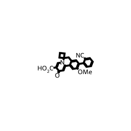 COc1cc2c(cc1-c1ccccc1C#N)CC1(CCC1)n1cc(C(=O)O)c(=O)cc1-2